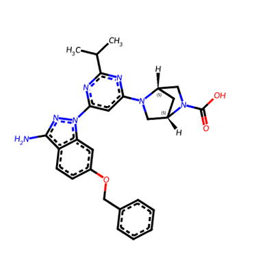 CC(C)c1nc(N2C[C@@H]3C[C@H]2CN3C(=O)O)cc(-n2nc(N)c3ccc(OCc4ccccc4)cc32)n1